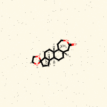 C[C@]12CCOC(=O)C[C@@H]1CC[C@@H]1[C@@H]2CC[C@@]2(C)[C@H]1CCC21OCCO1